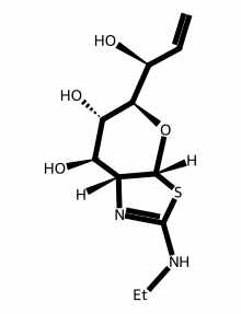 C=C[C@H](O)[C@H]1O[C@@H]2SC(NCC)=N[C@@H]2[C@@H](O)[C@@H]1O